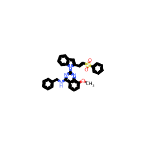 COc1cccc2c(NCc3ccccc3)nc(-n3c(/C=C/S(=O)(=O)c4ccccc4)cc4ccccc43)nc12